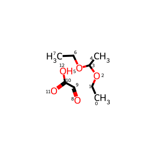 CCOC(C)OCC.O=CC(=O)O